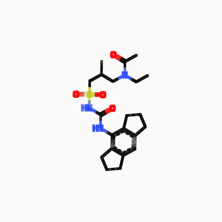 CCN(CC(C)CS(=O)(=O)NC(=O)Nc1c2c(cc3c1CCC3)CCC2)C(C)=O